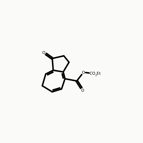 CCOC(=O)OC(=O)C1=C2CCC(=O)C2=CCC=C1